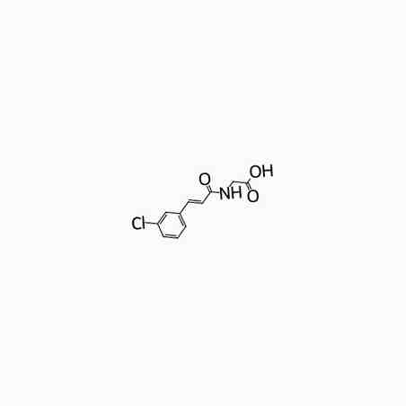 O=C(O)CNC(=O)C=Cc1cccc(Cl)c1